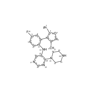 Cc1noc(C(C)C)c1-c1cc(F)ccc1Nc1cncnc1N1CCNCC1